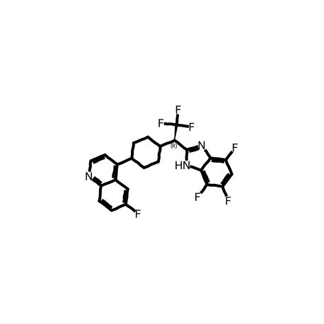 Fc1ccc2nccc(C3CCC([C@H](c4nc5c(F)cc(F)c(F)c5[nH]4)C(F)(F)F)CC3)c2c1